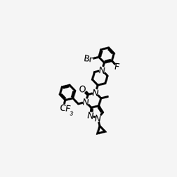 CC1c2cn(C3CC3)nc2N(Cc2ccccc2C(F)(F)F)C(=O)N1C1CCN(c2c(F)cccc2Br)CC1